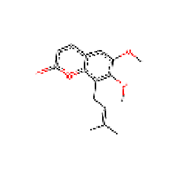 COc1cc2ccc(=O)oc2c(CC=C(C)C)c1OC